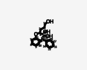 OCCCC1Oc2ccccc2N(c2ccccc2)S1(O)O